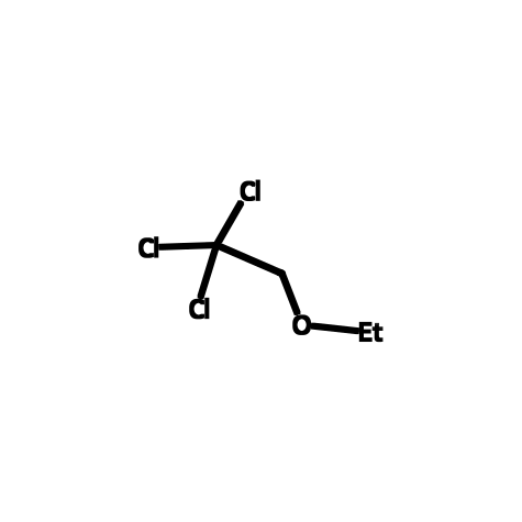 [CH2]COCC(Cl)(Cl)Cl